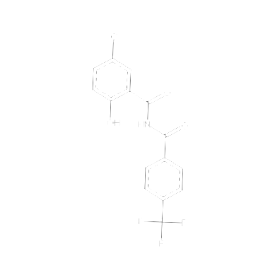 O=C(NC(=O)c1cc(Cl)ccc1O)c1ccc(C(F)(F)F)cc1